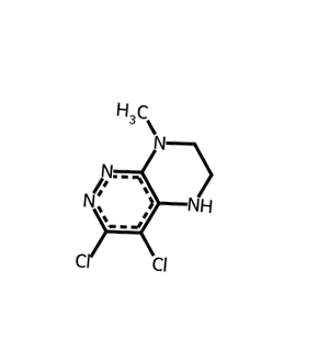 CN1CCNc2c1nnc(Cl)c2Cl